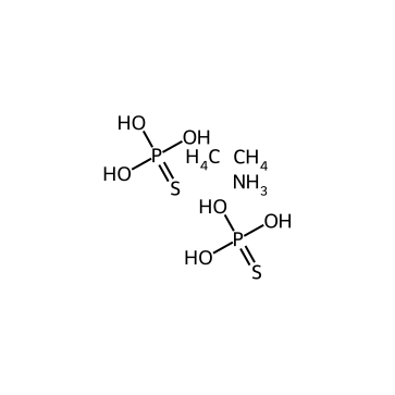 C.C.N.OP(O)(O)=S.OP(O)(O)=S